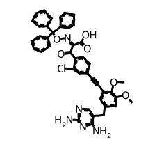 COc1cc(Cc2cnc(N)nc2N)cc(C#Cc2ccc(C(=O)/C(=N\OC(c3ccccc3)(c3ccccc3)c3ccccc3)C(=O)O)c(Cl)c2)c1OC